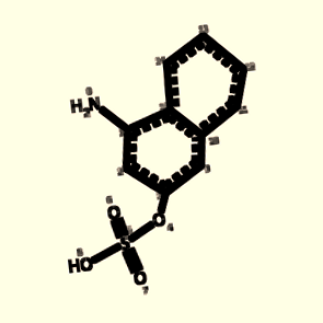 Nc1cc(OS(=O)(=O)O)cc2ccccc12